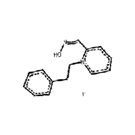 O/N=C\c1cccc[n+]1CCc1ccccc1.[I-]